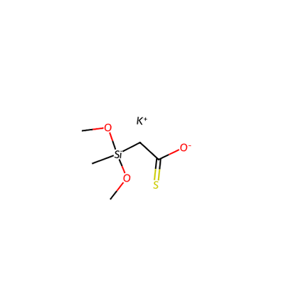 CO[Si](C)(CC([O-])=S)OC.[K+]